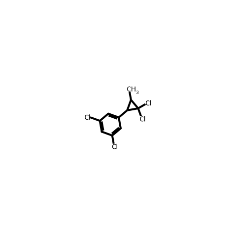 CC1C(c2cc(Cl)cc(Cl)c2)C1(Cl)Cl